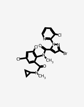 CN(C(=O)c1cc(Br)nn1-c1ncccc1Cl)c1c(Cl)cc(Cl)cc1C(=O)N(C)C1CC1